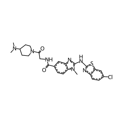 CN(C)C1CCN(C(=O)CNC(=O)c2ccc3c(c2)nc(Nc2nc4ccc(Cl)cc4s2)n3C)CC1